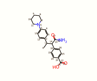 CC(c1ccc(N2CCCCC2)cc1)C(C(N)=O)c1ccc(C(=O)O)cc1